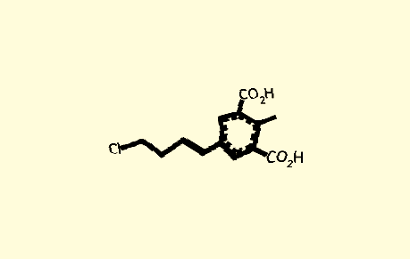 Cc1c(C(=O)O)cc(CCCCCl)cc1C(=O)O